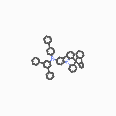 c1ccc(-c2ccc(N(c3cc(-c4ccccc4)cc(-c4ccccc4)c3)c3ccc4c(c3)c3cccc5c3n4-c3ccccc3C53c4ccccc4-c4ccccc43)cc2)cc1